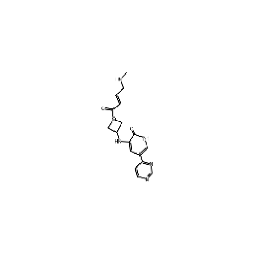 CNCC=CC(=O)N1CC(Nc2cc(-c3ccncn3)c[nH]c2=O)C1